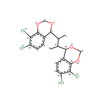 CC(C1OCOc2c1ccc(Cl)c2Cl)C(C)C1OCOc2c1ccc(Cl)c2Cl